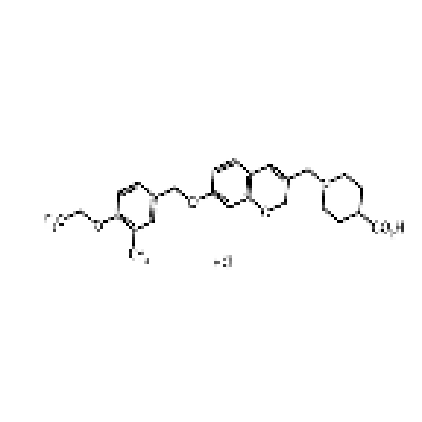 Cl.O=C(O)C1CCN(CC2=Cc3ccc(OCc4ccc(OCC(F)(F)F)c(C(F)(F)F)c4)cc3OC2)CC1